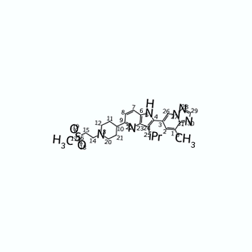 Cc1cc(-c2[nH]c3ccc(C4CCN(CCS(C)(=O)=O)CC4)nc3c2C(C)C)cn2ncnc12